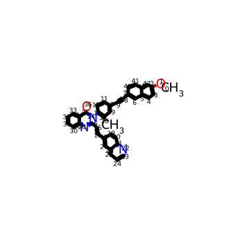 COc1ccc2cc(C#Cc3ccc(-n4c(/C=C/c5ccc6ncccc6c5)nc5ccccc5c4=O)c(C)c3)ccc2c1